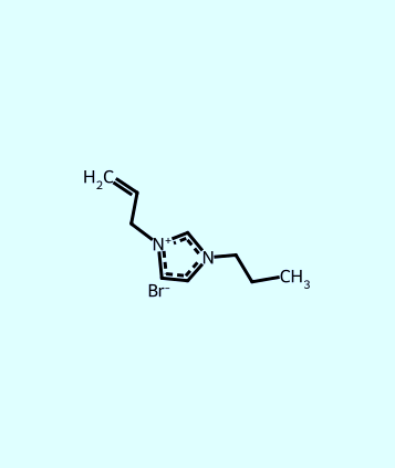 C=CC[n+]1ccn(CCC)c1.[Br-]